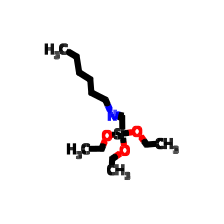 CCCCCCN=C[Si](OCC)(OCC)OCC